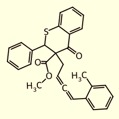 COC(=O)C1(CC=C=Cc2ccccc2C)C(=O)c2ccccc2SC1c1ccccc1